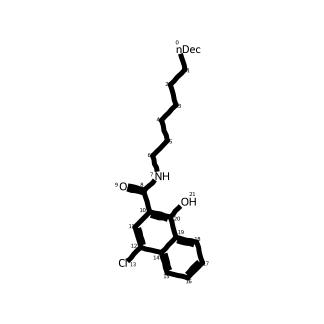 CCCCCCCCCCCCCCCCNC(=O)c1cc(Cl)c2ccccc2c1O